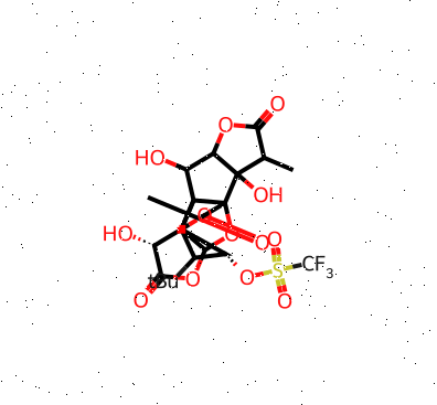 CC1C(=O)OC2C(O)C34C5OC(=O)C3(OC3OC(=O)[C@H](O)C34C(C(C)(C)C)[C@H]5OS(=O)(=O)C(F)(F)F)C12O